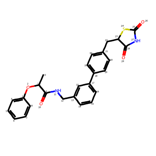 CC(Oc1ccccc1)C(=O)NCc1cccc(-c2ccc(CC3SC(=O)NC3=O)cc2)c1